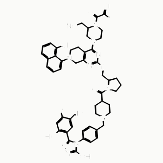 C=C(F)C(=O)N1CCN(c2nc(OCC3CCCN3C(=O)C3CCN(Cc4ccc(-n5c(O)nnc5-c5cc(C(C)C)c(O)cc5O)cc4)CC3)nc3c2CCN(c2cccc4cccc(Cl)c24)C3)CC1CC#N